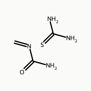 C=NC(N)=O.NC(N)=S